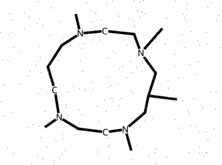 CC1CN(C)CCN(C)CCCN(C)CCN(C)C1